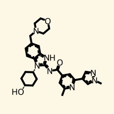 Cc1cc(C(=O)/N=c2\[nH]c3cc(CN4CCOCC4)ccc3n2[C@H]2CC[C@@H](O)CC2)cc(-c2cnn(C)c2)n1